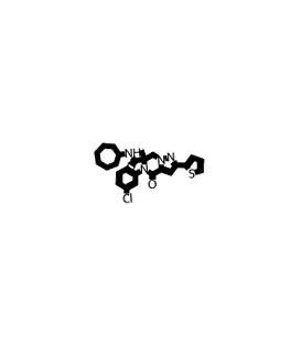 CC1(C(=O)NC2CCCCCC2)Cn2nc(-c3cccs3)cc2C(=O)N1c1cccc(Cl)c1